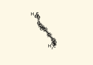 C=CC(=O)OCCCCOc1ccc(C(=O)Sc2ccc(C#Cc3ccc(C#Cc4ccc(OC(=O)C=C)cc4)cc3)cc2)cc1